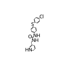 O=C(NCC1=CNCC=C1)Nc1ccc(Sc2ccc(Cl)cc2)cc1